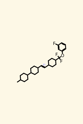 CC1CCC(C2CCC(/C=C/C3CCC(C(F)(F)Oc4cccc(F)c4)CC3)CC2)CC1